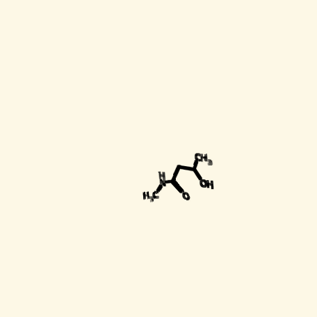 CNC(=O)CC(C)O